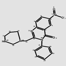 O=c1c2cc([N+](=O)[O-])ccc2nc(CN2CCCNC2)n1-c1ccccc1